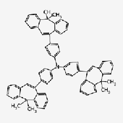 CC1(C)c2ccccc2C=C(c2ccc(N(c3ccc(C4=Cc5ccccc5C(C)(C)c5ccccc54)cc3)c3ccc(C4=Cc5ccccc5C(C)(C)c5ccccc54)cc3)cc2)c2ccccc21